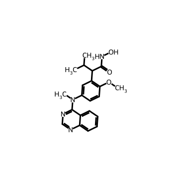 COc1ccc(N(C)c2ncnc3ccccc23)cc1C(C(=O)NO)C(C)C